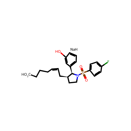 O=C(O)CCC/C=C\C[C@@H]1CCN(S(=O)(=O)c2ccc(F)cc2)[C@@H]1c1cccc(O)c1.[NaH]